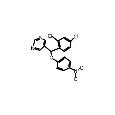 O=[N+]([O-])c1ccc(OC(c2cncnc2)c2ccc(Cl)cc2Cl)cc1